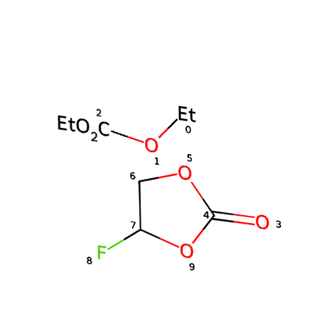 CCOC(=O)OCC.O=C1OCC(F)O1